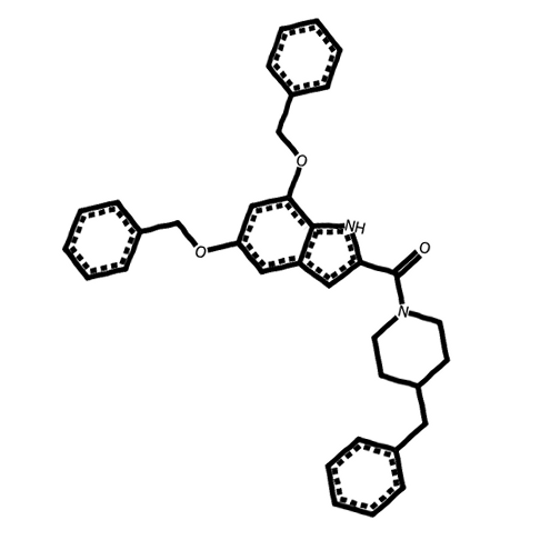 O=C(c1cc2cc(OCc3ccccc3)cc(OCc3ccccc3)c2[nH]1)N1CCC(Cc2ccccc2)CC1